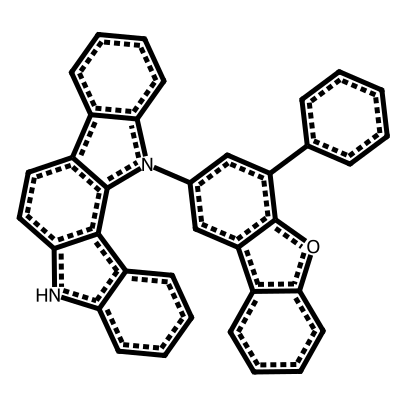 c1ccc(-c2cc(-n3c4ccccc4c4ccc5[nH]c6ccccc6c5c43)cc3c2oc2ccccc23)cc1